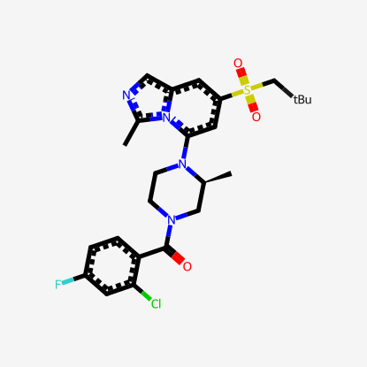 Cc1ncc2cc(S(=O)(=O)CC(C)(C)C)cc(N3CCN(C(=O)c4ccc(F)cc4Cl)C[C@@H]3C)n12